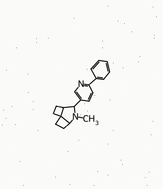 CN1C(c2ccc(-c3ccccc3)nc2)C2CCC23CCC13